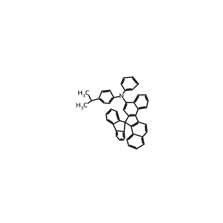 CC(C)c1ccc(N(c2ccccc2)c2cc3c(c4ccccc24)-c2ccc4ccccc4c2C32c3ccccc3-c3ccccc32)cc1